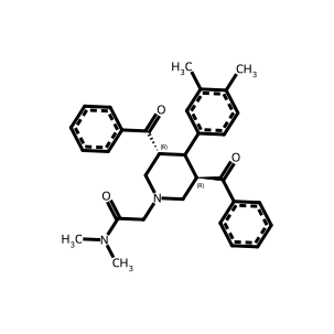 Cc1ccc(C2[C@@H](C(=O)c3ccccc3)CN(CC(=O)N(C)C)C[C@@H]2C(=O)c2ccccc2)cc1C